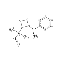 CC(C)([S+]=O)C1CCC1[C@H](N)c1ccccc1